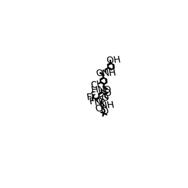 COC(=O)C(=Cc1sc(NC(=O)OC(C)(C)C)nc1C(F)(F)F)NC(=O)c1ccc(C(=O)NCc2cccc(O)c2)cc1Cl